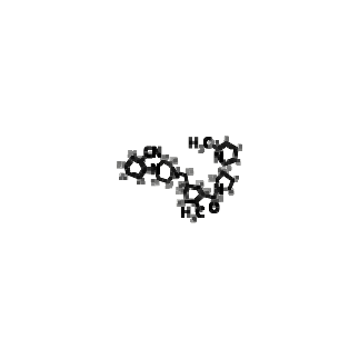 Cc1cccc([C@@H]2CCN(C(=O)c3cc(CN4CCN(c5ccccc5C#N)CC4)ccc3C)C2)n1